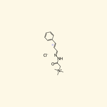 C[N+](C)(C)CC(=O)NN=C/C=C/c1ccccc1.[Cl-]